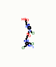 Cn1c(CCCC(=O)O)nc2cc(N(CCCl)CCOC(=O)CCCc3nc4c(CCCl)c(N)c(CCCl)cc4n3C)ccc21